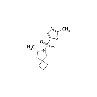 Cc1ncc(S(=O)(=O)N2CC3(CCC3)CC2C)s1